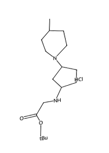 CC1CCN(C2CCC(NCC(=O)OC(C)(C)C)C2)CC1.Cl